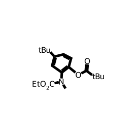 CCOC(=O)N(C)c1cc(C(C)(C)C)ccc1OC(=O)C(C)(C)C